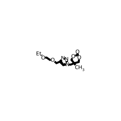 CCOCCOCc1cn(CC2(C)COC(=O)OC2)nn1